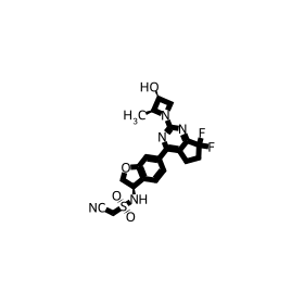 C[C@H]1[C@H](O)CN1c1nc(-c2ccc3c(c2)OC[C@@H]3NS(=O)(=O)CC#N)c2c(n1)C(F)(F)CC2